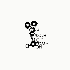 COC(=O)c1c(O)cc(Cl)cc1OC[C@H]1C[C@@H](O[Si](c2ccccc2)(c2ccccc2)C(C)(C)C)CN1C(=O)O